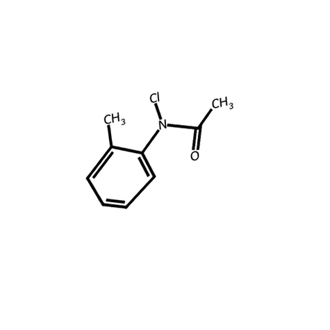 CC(=O)N(Cl)c1ccccc1C